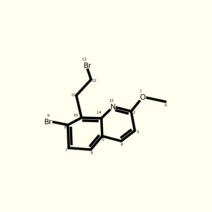 COc1ccc2ccc(Br)c(CCBr)c2n1